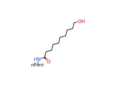 CCCCCNC(=O)CCCCCCCCCO